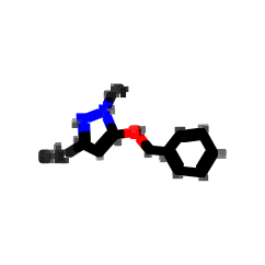 CC(C)n1nc(C=O)cc1OCc1ccccc1